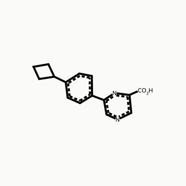 O=C(O)c1cncc(-c2ccc(C3CCC3)cc2)n1